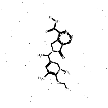 CCNC(=O)c1nccc2c1CN(C(C)C1=CC(C)=C(OCC(F)(F)F)N(C)C1)C2=O